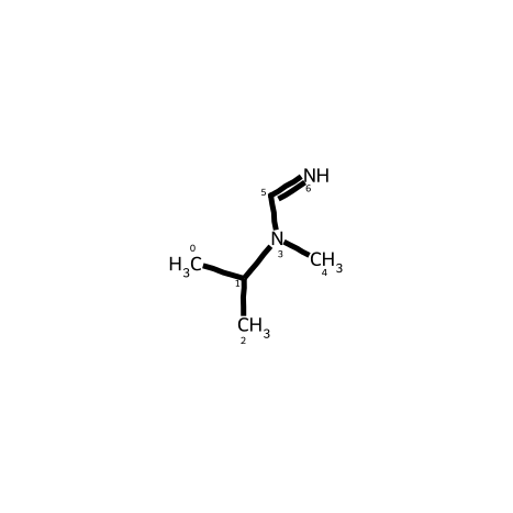 CC(C)N(C)C=N